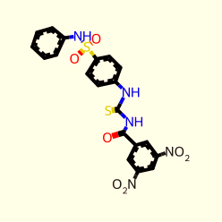 O=C(NC(=S)Nc1ccc(S(=O)(=O)Nc2ccccc2)cc1)c1cc([N+](=O)[O-])cc([N+](=O)[O-])c1